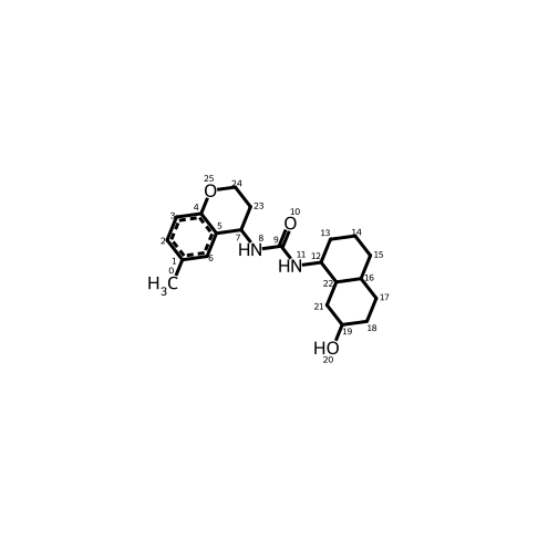 Cc1ccc2c(c1)C(NC(=O)NC1CCCC3CCC(O)CC31)CCO2